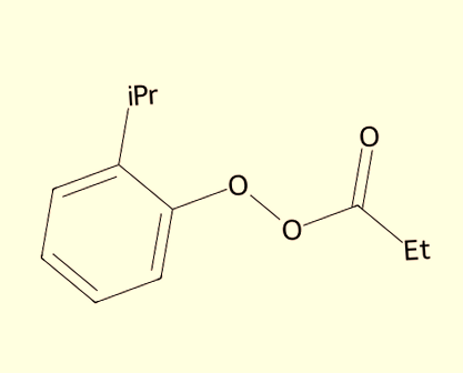 CCC(=O)OOc1ccccc1C(C)C